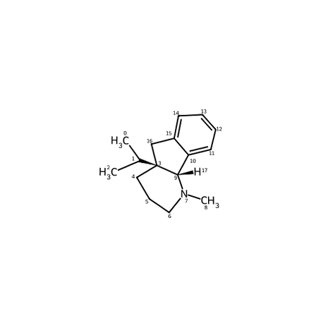 CC(C)[C@]12CCCN(C)[C@H]1c1ccccc1C2